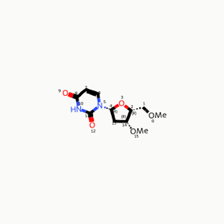 COC[C@H]1O[C@@H](n2ccc(=O)[nH]c2=O)C[C@H]1OC